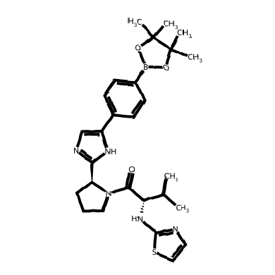 CC(C)[C@H](Nc1nccs1)C(=O)N1CCC[C@H]1c1ncc(-c2ccc(B3OC(C)(C)C(C)(C)O3)cc2)[nH]1